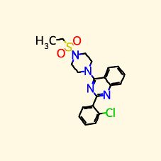 CCS(=O)(=O)N1CCN(c2nc(-c3ccccc3Cl)nc3ccccc23)CC1